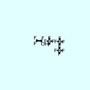 F[B-](F)(F)F.F[B-](F)(F)F.F[B-](F)(F)F.OC(F)C(F)F